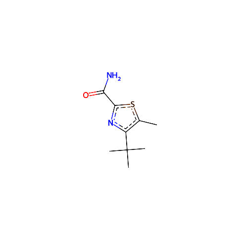 Cc1sc(C(N)=O)nc1C(C)(C)C